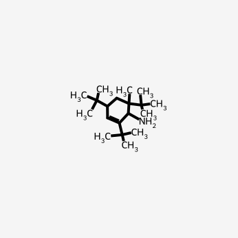 CC(C)(C)C1=CC(C(C)(C)C)CC(C)(C(C)(C)C)C1N